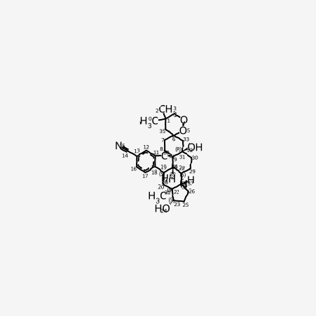 CC1(C)COOC2(CC[C@@]34Cc5cc(C#N)ccc5[C@H]5C[C@]6(C)[C@@H](O)CC[C@H]6[C@H](CC[C@@]3(O)C2)[C@H]54)C1